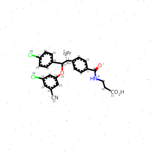 CCC[C@H](c1ccc(C(=O)NCCC(=O)O)cc1)C(Oc1cc(Cl)cc(C#N)c1)c1ccc(Cl)cc1